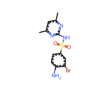 Cc1cc(C)nc(NS(=O)(=O)c2ccc(N)c(Br)c2)n1